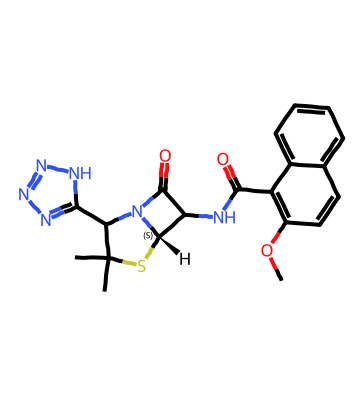 COc1ccc2ccccc2c1C(=O)NC1C(=O)N2C(c3nnn[nH]3)C(C)(C)S[C@@H]12